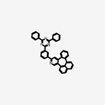 c1ccc(-c2nc(-c3ccccc3)nc(-c3cccc(-c4cc5c(cn4)-c4cccc6cccc(c46)-c4ccccc4-5)c3)n2)cc1